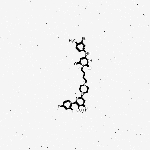 CCc1cc(Nc2cc(=O)n(CCCCN3CCN(C4=NC(c5ccc(F)cc5F)=C(C(=O)O)C(=O)C4)CC3)c(=O)[nH]2)ccc1C